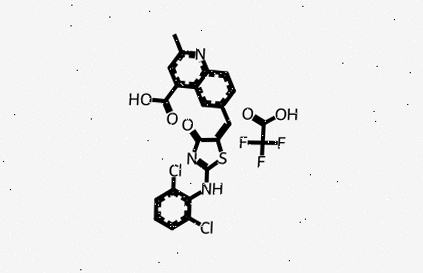 Cc1cc(C(=O)O)c2cc(C=C3SC(Nc4c(Cl)cccc4Cl)=NC3=O)ccc2n1.O=C(O)C(F)(F)F